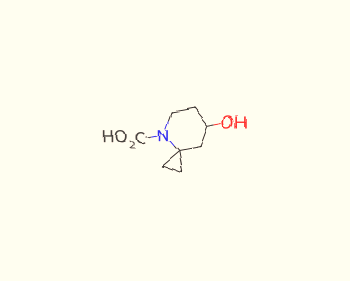 O=C(O)N1CCC(O)CC12CC2